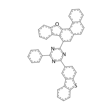 c1ccc(-c2nc(-c3ccc4sc5ccccc5c4c3)nc(-c3cc4ccc5ccccc5c4c4oc5ccccc5c34)n2)cc1